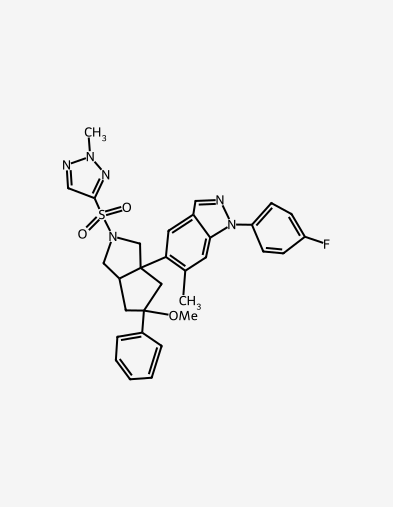 COC1(c2ccccc2)CC2CN(S(=O)(=O)c3cnn(C)n3)CC2(c2cc3cnn(-c4ccc(F)cc4)c3cc2C)C1